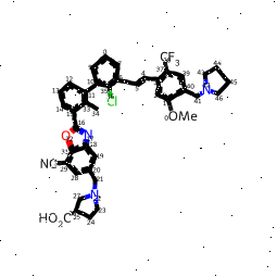 COc1cc(/C=C/c2cccc(-c3cccc(-c4nc5cc(CN6CC[C@@H](C(=O)O)C6)cc(C#N)c5o4)c3C)c2Cl)c(C(F)(F)F)cc1CN1CCCC1